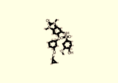 COc1cc(S(=O)(=O)Nc2cc3c(cc2Oc2cccc(OCC4CC4)c2)n(C)c(=O)n3C)ccc1O